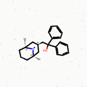 CN1[C@@H]2CCC[C@H]1C[C@@H](CC(O)(c1ccccc1)c1ccccc1)C2